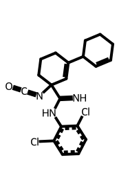 N=C(Nc1c(Cl)cccc1Cl)C1(N=C=O)C=C(C2C=CCCC2)CCC1